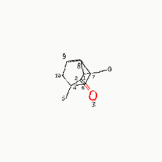 CC1C(=O)C2(C)CCC1CC2